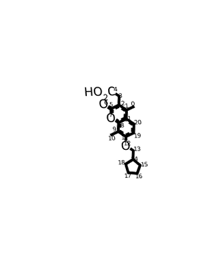 Cc1c(CC(=O)O)c(=O)oc2c(C)c(OCC3CCCC3)ccc12